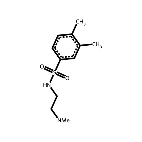 CNCCNS(=O)(=O)c1ccc(C)c(C)c1